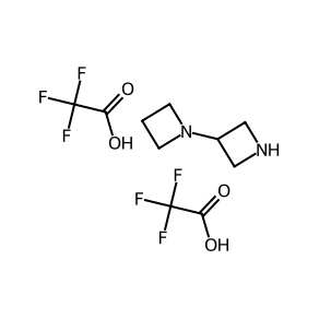 C1CN(C2CNC2)C1.O=C(O)C(F)(F)F.O=C(O)C(F)(F)F